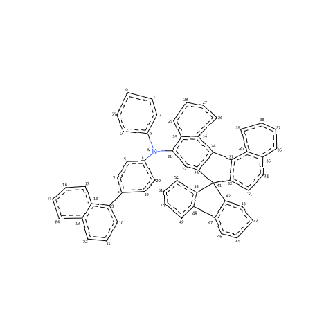 c1ccc(N(c2ccc(-c3cccc4ccccc34)cc2)c2cc3c(c4ccccc24)-c2c(ccc4ccccc24)C32c3ccccc3-c3ccccc32)cc1